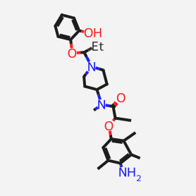 CCC(Oc1ccccc1O)N1CCC(N(C)C(=O)C(C)Oc2cc(C)c(N)c(C)c2C)CC1